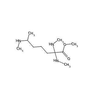 CNC(C)CCCC(NC)(NC)C(=O)OC